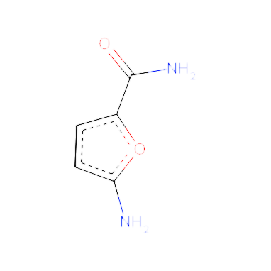 NC(=O)c1ccc(N)o1